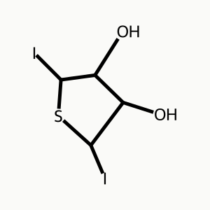 OC1C(I)SC(I)C1O